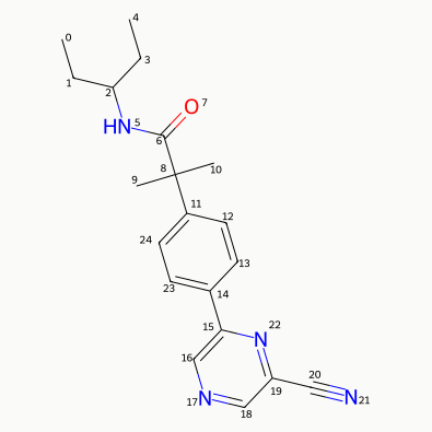 CCC(CC)NC(=O)C(C)(C)c1ccc(-c2cncc(C#N)n2)cc1